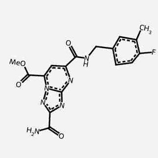 COC(=O)c1cc(C(=O)NCc2ccc(F)c(C)c2)nc2nc(C(N)=O)nn12